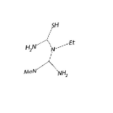 CCN(C(N)S)C(N)NC